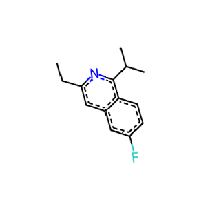 CCc1cc2cc(F)ccc2c(C(C)C)n1